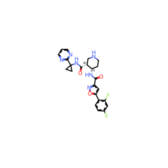 O=C(N[C@H]1CCNC[C@H]1C(=O)NC1(c2ncccn2)CC1)c1cc(-c2ccc(F)cc2F)on1